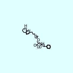 COC(=O)C(COC1CN(CCCc2ccc3c(n2)NCCC3)C1)NC(=O)OCc1ccccc1